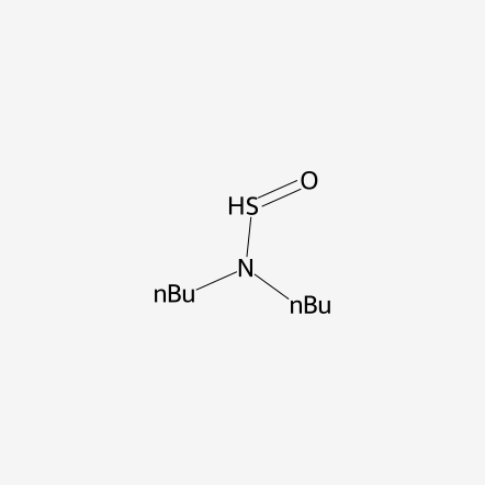 CCCCN(CCCC)[SH]=O